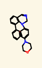 C1=NCN(c2ccc(N3CCOCC3)cc2)c2c1cccc2-c1ccccc1